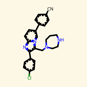 N#Cc1ccc(-c2ccc3nc(-c4ccc(Cl)cc4)c(CN4CCCNCC4)n3c2)cc1